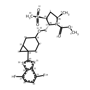 COC(=O)N1[C@H](C)C[C@H](S(C)(=O)=O)[C@H]1COC1CCC2(c3nc4c(F)ccc(F)c4s3)CC2C1